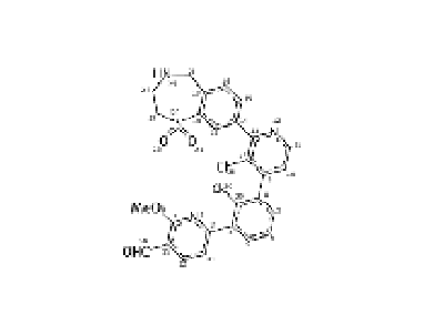 COc1nc(-c2cccc(-c3ccnc(-c4ccc5c(c4)S(=O)(=O)CCNC5)c3Cl)c2Cl)ccc1C=O